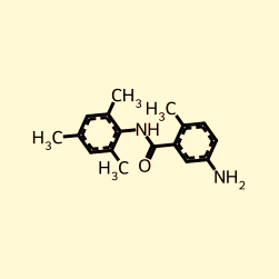 Cc1cc(C)c(NC(=O)c2cc(N)ccc2C)c(C)c1